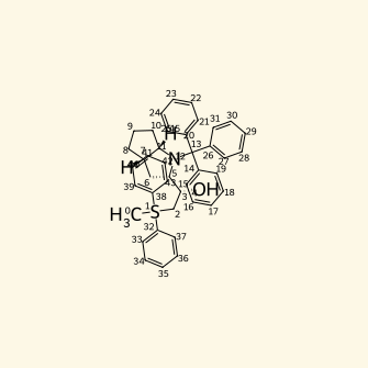 CS(C[C@@H](O)[C@@H]1C[C@@H]2CCC[C@@H]2N1C(c1ccccc1)(c1ccccc1)c1ccccc1)(c1ccccc1)c1ccccc1